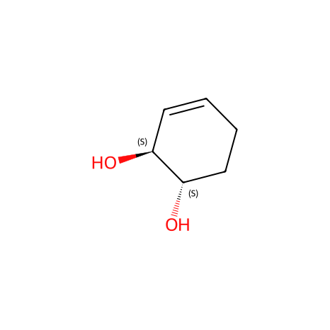 O[C@H]1C=CCC[C@@H]1O